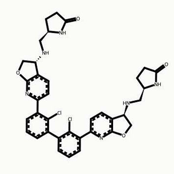 O=C1CC[C@H](CN[C@H]2COc3nc(-c4cccc(-c5cccc(-c6ccc7c(n6)OC[C@@H]7NC[C@H]6CCC(=O)N6)c5Cl)c4Cl)ccc32)N1